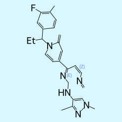 C=N/C=C\C(=N/CNc1cn(C)nc1C)C1=CC(=C)N(C(CC)c2ccc(C)c(F)c2)C=C1